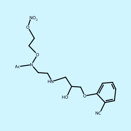 CC(=O)N(CCNCC(O)COc1ccccc1C#N)OCCO[N+](=O)[O-]